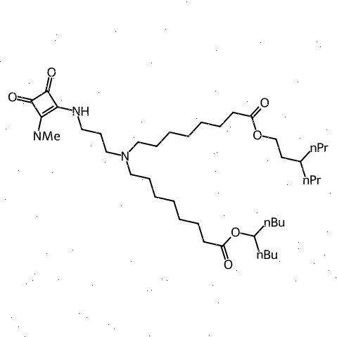 CCCCC(CCCC)OC(=O)CCCCCCCN(CCCCCCCC(=O)OCCC(CCC)CCC)CCCNc1c(NC)c(=O)c1=O